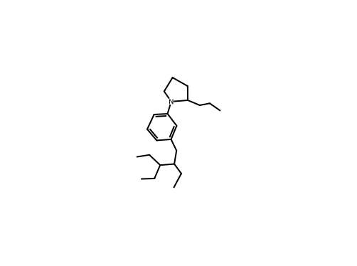 CCCC1CCCN1c1cccc(CC(CC)C(CC)CC)c1